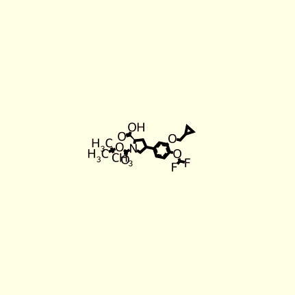 CC(C)(C)OC(=O)N1CC(c2ccc(OC(F)F)c(OCC3CC3)c2)C[C@@H]1C(=O)O